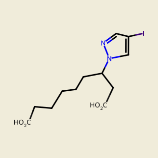 O=C(O)CCCCCC(CC(=O)O)n1cc(I)cn1